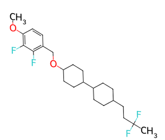 COc1ccc(COC2CCC(C3CCC(CCC(C)(F)F)CC3)CC2)c(F)c1F